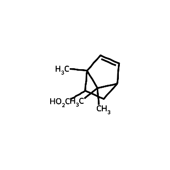 CC1(C)C2C=CC1(C)C(C(=O)O)C2